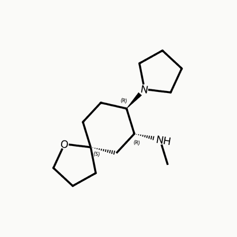 CN[C@@H]1C[C@@]2(CCCO2)CC[C@H]1N1CCCC1